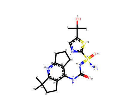 CC(C)(O)c1cnc([S@](N)(=O)=NC(=O)Nc2c3c(nc4c2CCC4(C)C)CCC3)s1